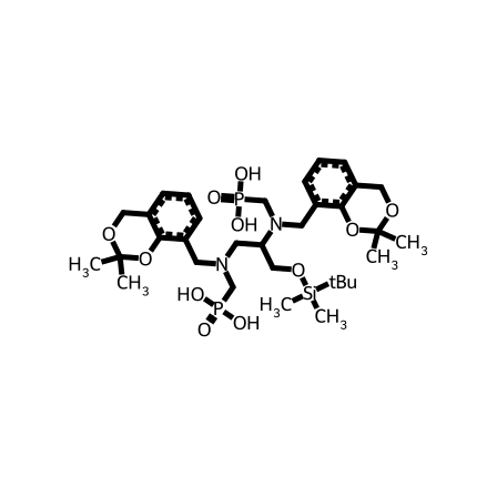 CC1(C)OCc2cccc(CN(CC(CO[Si](C)(C)C(C)(C)C)N(Cc3cccc4c3OC(C)(C)OC4)CP(=O)(O)O)CP(=O)(O)O)c2O1